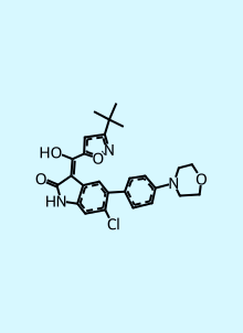 CC(C)(C)c1cc(/C(O)=C2/C(=O)Nc3cc(Cl)c(-c4ccc(N5CCOCC5)cc4)cc32)on1